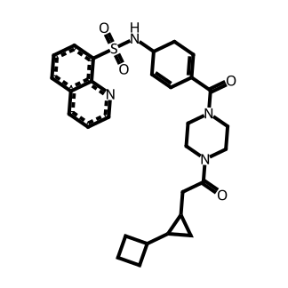 O=C(CC1CC1C1CCC1)N1CCN(C(=O)C2=CCC(NS(=O)(=O)c3cccc4cccnc34)C=C2)CC1